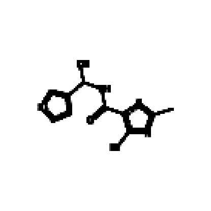 CCc1nc(C)sc1C(=O)NC(C#N)c1ccsc1